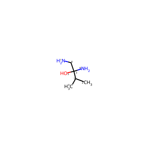 CC(C)C(N)(O)CN